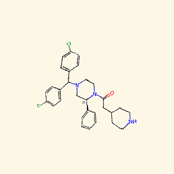 O=C(CC1CCNCC1)N1CCN(C(c2ccc(Cl)cc2)c2ccc(Cl)cc2)C[C@@H]1c1ccccc1